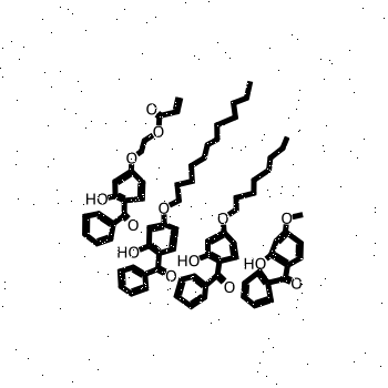 C=CC(=O)OCCOc1ccc(C(=O)c2ccccc2)c(O)c1.CCCCCCCCCCCCOc1ccc(C(=O)c2ccccc2)c(O)c1.CCCCCCCCOc1ccc(C(=O)c2ccccc2)c(O)c1.COc1ccc(C(=O)c2ccccc2)c(O)c1